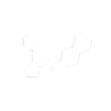 O=C(NO)C1CCCN1S(=O)(=O)c1ccc2ccccc2c1